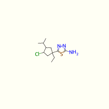 CCC1(c2nnc(N)s2)CC(Cl)C(C(C)C)C1